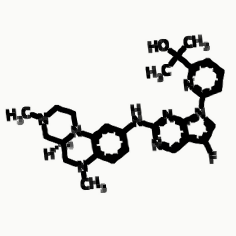 CN1CCN2c3cc(Nc4ncc5c(F)cn(-c6cccc(C(C)(C)O)n6)c5n4)ccc3N(C)C[C@H]2C1